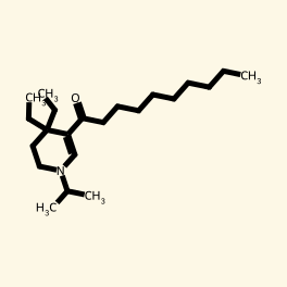 CCCCCCCCCC(=O)C1=CN(C(C)C)CCC1(CC)CC